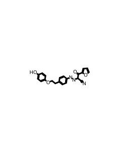 N#CC(N=Nc1ccc(CCOc2ccc(O)cc2)cc1)C(=O)c1ccco1